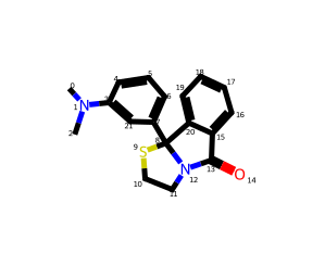 CN(C)c1cccc(C23SCCN2C(=O)c2ccccc23)c1